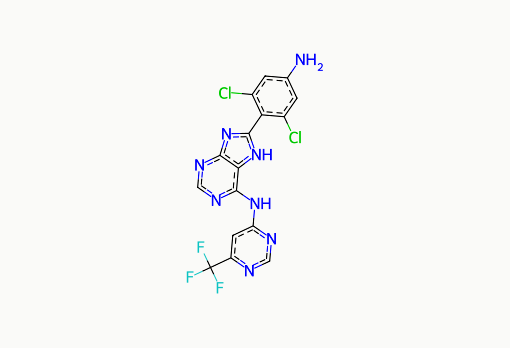 Nc1cc(Cl)c(-c2nc3ncnc(Nc4cc(C(F)(F)F)ncn4)c3[nH]2)c(Cl)c1